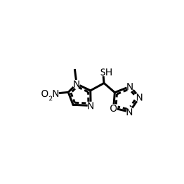 Cn1c([N+](=O)[O-])cnc1C(S)c1nnno1